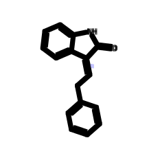 O=C1Nc2ccccc2/C1=C\Cc1ccccc1